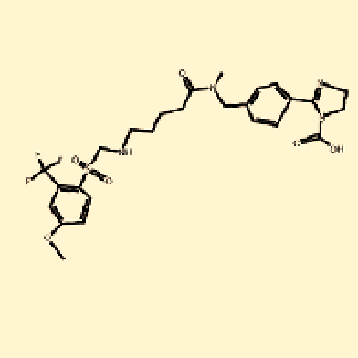 COc1ccc(S(=O)(=O)CNCCCCC(=O)N(C)Cc2ccc(C3=NCCN3C(=O)O)cc2)c(C(F)(F)F)c1